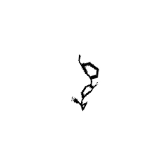 CCc1cccc(-c2ccc(C3(C#N)CC3)cc2F)c1